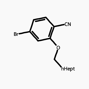 CCCCCCCCOc1cc(Br)ccc1C#N